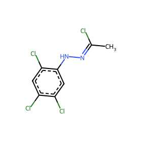 CC(Cl)=NNc1cc(Cl)c(Cl)cc1Cl